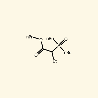 CCCCP(=O)(CCCC)C(CC)C(=O)OCCC